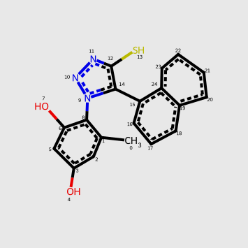 Cc1cc(O)cc(O)c1-n1nnc(S)c1-c1cccc2ccccc12